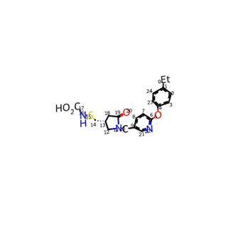 CCc1ccc(Oc2ccc(CN3C[C@H](CSNC(=O)O)CC3=O)cn2)cc1